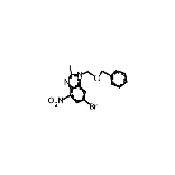 Cc1nc2c([N+](=O)[O-])cc(Br)cc2n1COCc1ccccc1